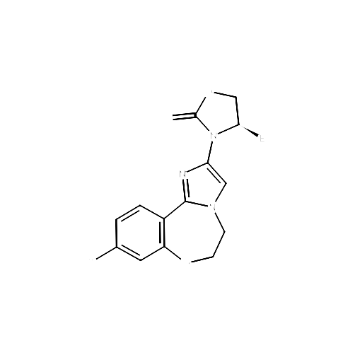 CC[C@@H]1COC(=O)N1c1cn2c(n1)-c1ccc(Br)cc1OCC2